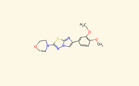 COc1ccc(-c2cn3nc(N4CCOCC4)sc3n2)cc1OC